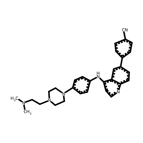 CN(C)CCN1CCN(c2ccc(Nc3ccnc4ccc(-c5ccc(C#N)cc5)cc34)cc2)CC1